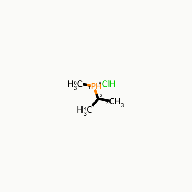 CPC(C)C.Cl